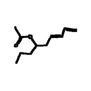 C=C/C=C/CC(CCC)OC(C)=O